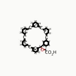 O=C(O)COC1c2cccc(c2)Cc2cccc(c2)Cc2cccc(c2)Cc2cccc(c2)Cc2cccc(c2)Cc2cccc1c2